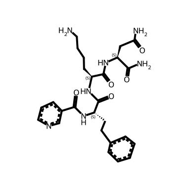 NCCCC[C@H](NC(=O)[C@H](CCc1ccccc1)NC(=O)c1cccnc1)C(=O)N[C@@H](CC(N)=O)C(N)=O